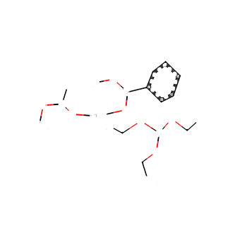 CCO[SiH](OCC)OCC.CO[SiH](C)OC.CO[SiH](OC)c1ccccc1